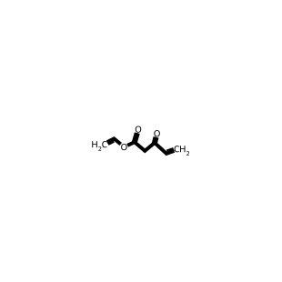 C=COC(=O)CC(=O)C=C